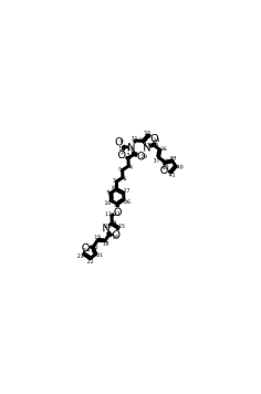 O=C1OC(CCCCc2ccc(OCc3coc(C=Cc4ccco4)n3)cc2)C(=O)N1Cc1coc(C=Cc2ccco2)n1